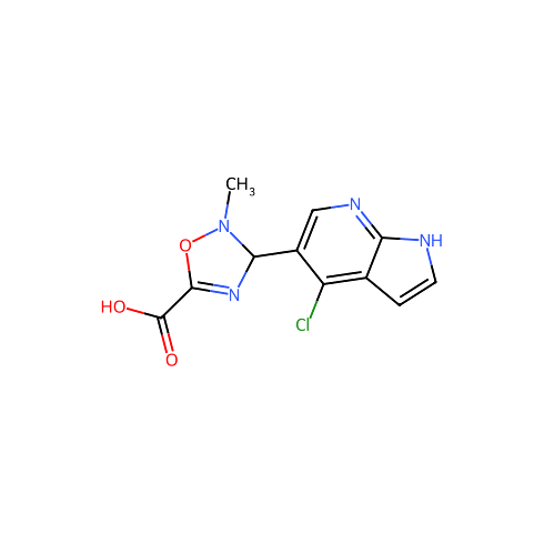 CN1OC(C(=O)O)=NC1c1cnc2[nH]ccc2c1Cl